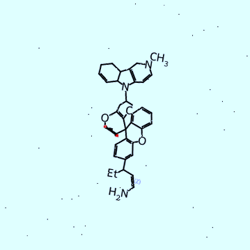 CCC(/C=C\N)c1ccc2c(c1)Oc1ccccc1C21C2=C(CC(N3C4=C(CN(C)C=C4)C4CCC=CC43)CC2)Oc2ccccc21